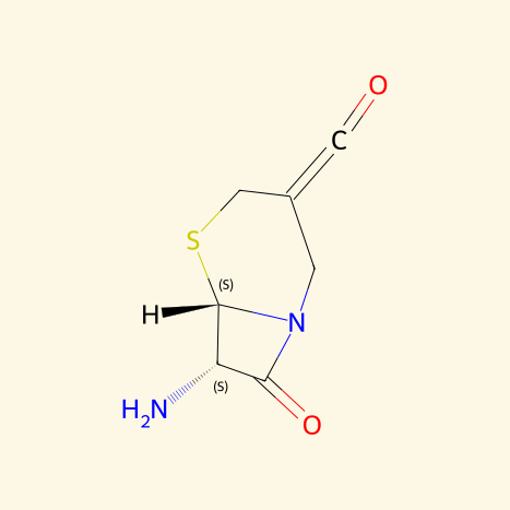 N[C@H]1C(=O)N2CC(=C=O)CS[C@@H]12